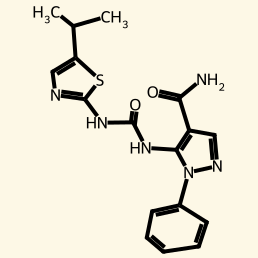 CC(C)c1cnc(NC(=O)Nc2c(C(N)=O)cnn2-c2ccccc2)s1